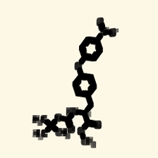 COC(=O)[C@H](Cc1ccc(Oc2ccc([N+](=O)[O-])cc2)cc1)NC(=O)OC(C)(C)C